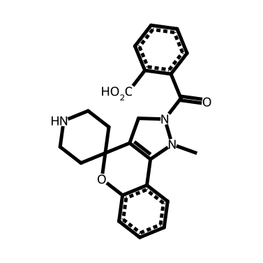 CN1C2=C(CN1C(=O)c1ccccc1C(=O)O)C1(CCNCC1)Oc1ccccc12